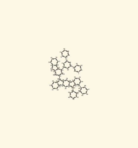 c1ccc(-c2cc(-c3ccccc3)cc(-c3nc(-n4c5ccccc5c5cc6c(cc54)c4cccc5c4n6-c4ccccc4-c4ccccc4-5)nc4oc5ccccc5c34)c2)cc1